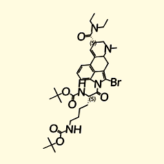 CCN(CC)C(=O)[C@H]1C=C2c3cccc4c3c(c(Br)n4C(=O)[C@H](CCCCNC(=O)OC(C)(C)C)NC(=O)OC(C)(C)C)CC2N(C)C1